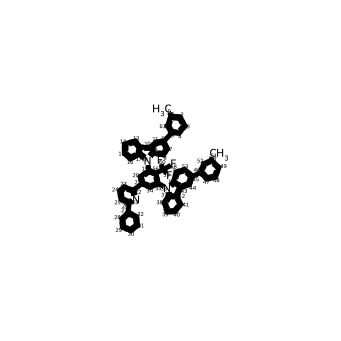 Cc1cccc(-c2ccc3c(c2)c2ccccc2n3-c2cc(-c3cccc(-c4ccccc4)n3)cc(-n3c4ccccc4c4cc(-c5cccc(C)c5)ccc43)c2C(F)(F)F)c1